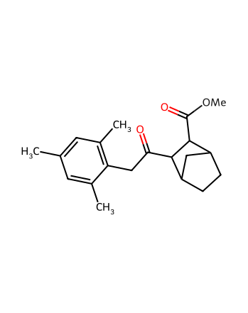 COC(=O)C1C2CCC(C2)C1C(=O)Cc1c(C)cc(C)cc1C